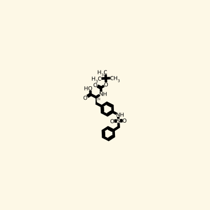 CC(C)(C)OC(=O)N[C@@H](Cc1ccc(NS(=O)(=O)Cc2ccccc2)cc1)C(=O)O